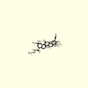 CONC(=O)[C@@H]1CC(C)(C)CC2C1CC[C@]1(C)C2C(=O)C[C@@H]2[C@@]3(C)C=C(C#N)C(=O)C(C)(C)[C@@H]3CC[C@]21C